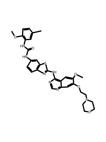 COc1ccc(C)cc1NC(=O)Nc1ccc2nc(Nc3ncnc4cc(OCCN5CCOCC5)c(OC)cc34)sc2c1